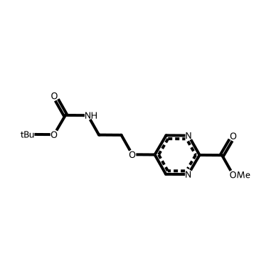 COC(=O)c1ncc(OCCNC(=O)OC(C)(C)C)cn1